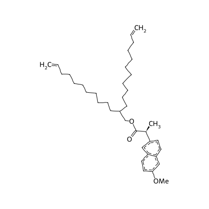 C=CCCCCCCCCCC(CCCCCCCCCC=C)COC(=O)[C@@H](C)c1ccc2cc(OC)ccc2c1